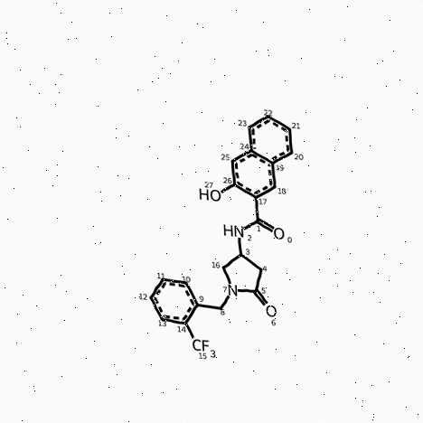 O=C(NC1CC(=O)N(Cc2ccccc2C(F)(F)F)C1)c1cc2ccccc2cc1O